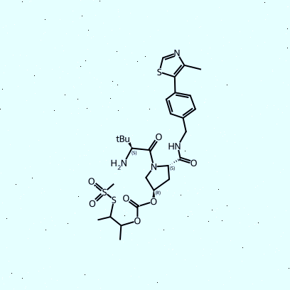 Cc1ncsc1-c1ccc(CNC(=O)[C@@H]2C[C@@H](OC(=O)OC(C)C(C)SS(C)(=O)=O)CN2C(=O)[C@@H](N)C(C)(C)C)cc1